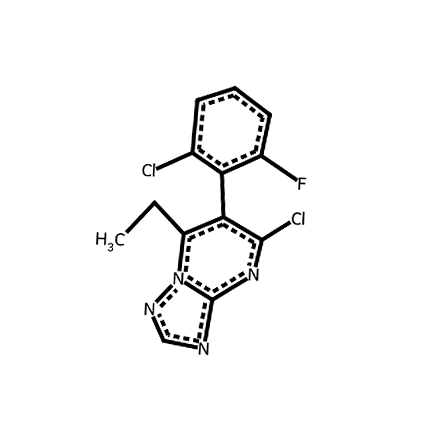 CCc1c(-c2c(F)cccc2Cl)c(Cl)nc2ncnn12